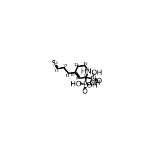 O=P(O)(O)C1(P(=O)(O)O)C=C(CCC=S)CCN1